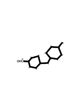 CC1CCC(CC2CCC(C=O)CC2)CC1